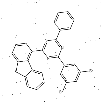 Brc1cc(Br)cc(-c2nc(-c3ccccc3)nc(-c3cccc4sc5ccccc5c34)n2)c1